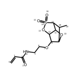 C=CC(=O)NCCOC1C2OC3C1OS(=O)(=O)C3C2C